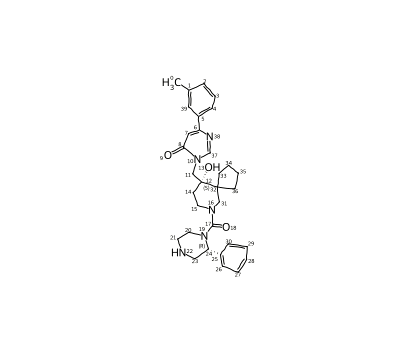 Cc1cccc(-c2cc(=O)n(C[C@]3(O)CCN(C(=O)N4CCNC[C@H]4c4ccccc4)CC34CCCC4)cn2)c1